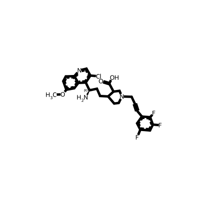 COc1ccc2ncc(Cl)c([C@H](N)CCC3CCN(CC#Cc4cc(F)cc(F)c4F)CC3C(=O)O)c2c1